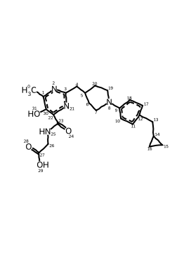 Cc1nc(CC2CCN(c3ccc(CC4CC4)cc3)CC2)nc(C(=O)NCC(=O)O)c1O